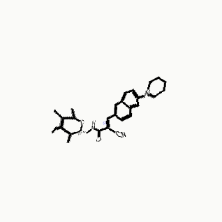 CC1O[C@H](CNC(=O)/C(C#N)=C/c2ccc3cc(N4CCCCC4)ccc3c2)C(C)C(C)C1C